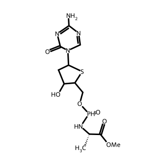 COC(=O)[C@H](C)N[PH](=O)OCC1SC(n2cnc(N)nc2=O)CC1O